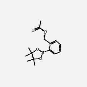 CC(=O)OCc1ccccc1B1OC(C)(C)C(C)(C)O1